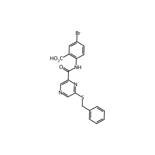 O=C(Nc1ccc(Br)cc1C(=O)O)c1cncc(SCc2ccccc2)n1